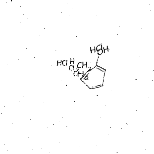 C=C.Cl.Cl.Cl.Oc1ccccc1